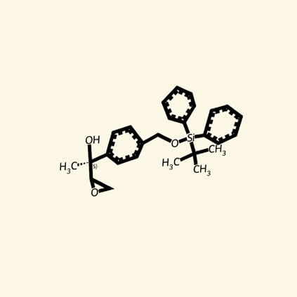 CC(C)(C)[Si](OCc1ccc([C@](C)(O)C2CO2)cc1)(c1ccccc1)c1ccccc1